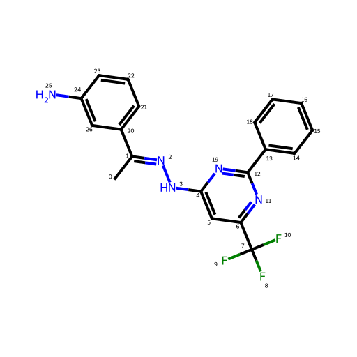 C/C(=N\Nc1cc(C(F)(F)F)nc(-c2ccccc2)n1)c1cccc(N)c1